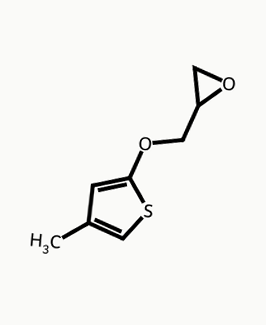 Cc1csc(OCC2CO2)c1